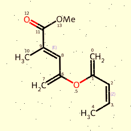 C=C(/C=C\C)OC(=C)/C=C(\C)C(=O)OC